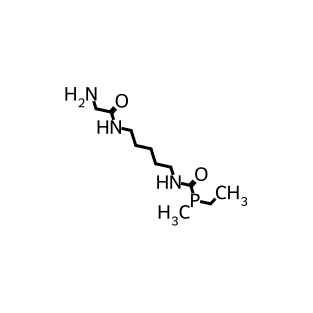 CCP(C)C(=O)NCCCCCNC(=O)CN